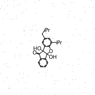 CC(C)Cc1cc(C(C)C)c2c(c1)C1(O)C(=O)c3ccccc3C1(O)O2